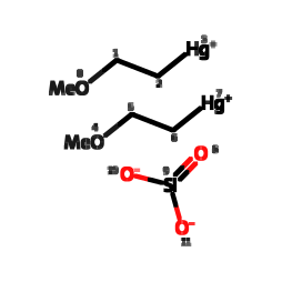 COC[CH2][Hg+].COC[CH2][Hg+].O=[Si]([O-])[O-]